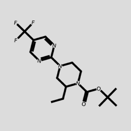 CCC1CN(c2ncc(C(F)(F)F)cn2)CCN1C(=O)OC(C)(C)C